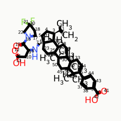 C=C(C)[C@@H]1CC[C@]2(CNC(CC(=O)O)C(=O)N3CCC(F)(F)C3)CC[C@]3(C)[C@H](CC[C@@H]4[C@@]5(C)CC=C(c6ccc(C(=O)O)cc6)C(C)(C)[C@@H]5CC[C@]43C)[C@@H]12